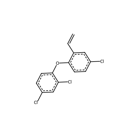 C=Cc1cc(Cl)ccc1Oc1ccc(Cl)cc1Cl